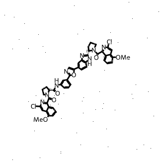 COc1cccc2c(C(=O)N3CCC[C@H]3C(=O)Nc3cccc(-c4ncc(-c5ccc6[nH]c([C@@H]7CCCN7C(=O)c7nc(Cl)cc8c(OC)cccc78)nc6c5)o4)c3)nc(Cl)cc12